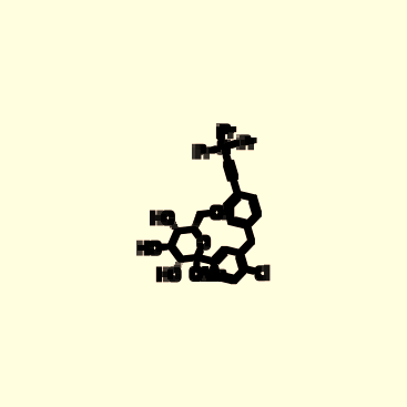 COC1(c2ccc(Cl)c(Cc3ccc(C#C[Si](C(C)C)(C(C)C)C(C)C)cc3)c2)O[C@H](CO)[C@@H](O)[C@H](O)[C@H]1O